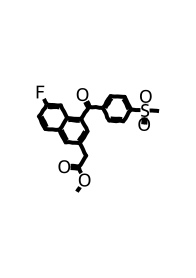 COC(=O)Cc1cc(C(=O)c2ccc(S(C)(=O)=O)cc2)c2cc(F)ccc2c1